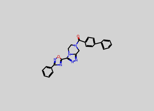 O=C(c1ccc(-c2ccccc2)cc1)N1CCn2c(nnc2-c2nc(-c3ccccc3)no2)C1